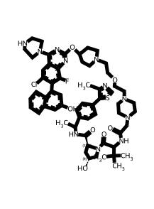 Cc1ncsc1-c1ccc(C(C)NC(=O)[C@@H]2C[C@@H](O)CN2C(=O)C(NC(=O)CN2CCN(CCOCCN3CCC(Oc4nc(N5CCNCC5)c5cc(Cl)c(-c6cc(O)cc7ccccc67)c(F)c5n4)CC3)CC2)C(C)(C)C)cc1